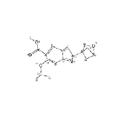 COC(=O)c1cc2cn(C34COC(C3)C4)nc2cc1OC(C)C